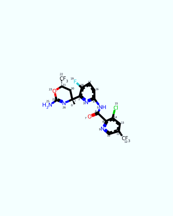 C[C@]1(c2nc(NC(=O)c3ncc(C(F)(F)F)cc3Cl)ccc2F)C[C@@H](C(F)(F)F)OC(N)=N1